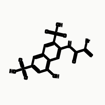 C=C(Br)C(=O)Nc1cc2c(O)cc(S(=O)(=O)O)cc2cc1S(=O)(=O)O